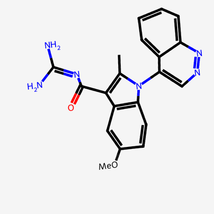 COc1ccc2c(c1)c(C(=O)N=C(N)N)c(C)n2-c1cnnc2ccccc12